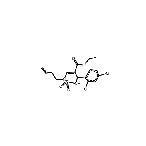 C=CCCN1C=C(C(=O)OCC)C(c2ccc(Cl)cc2Cl)NS1(=O)=O